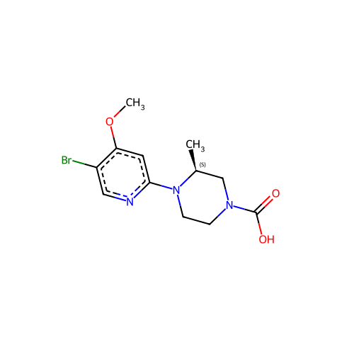 COc1cc(N2CCN(C(=O)O)C[C@@H]2C)ncc1Br